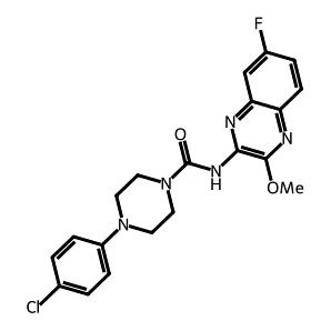 COc1nc2ccc(F)cc2nc1NC(=O)N1CCN(c2ccc(Cl)cc2)CC1